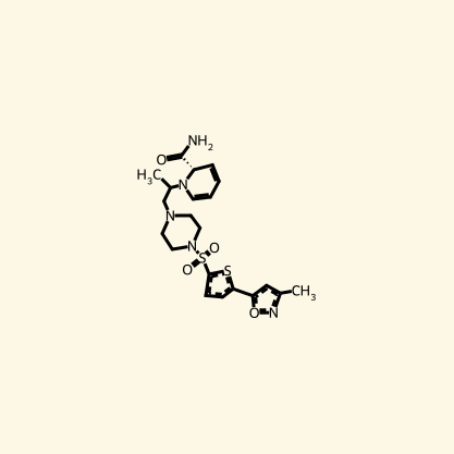 Cc1cc(-c2ccc(S(=O)(=O)N3CCN(CC(C)N4C=CC=C[C@H]4C(N)=O)CC3)s2)on1